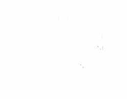 CC(=O)C1(N)c2c(Cl)cccc2C(c2ccc(C)cc2)CN1C.Cl